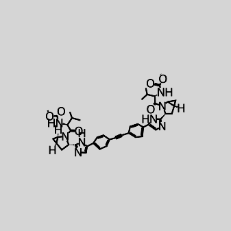 COC(=O)N[C@H](C(=O)N1C2C[C@@H]2C[C@H]1c1ncc(-c2ccc(C#Cc3ccc(-c4cnc([C@@H]5C[C@H]6C[C@H]6N5C(=O)[C@@H](NC(=O)OC)C(C)C)[nH]4)cc3)cc2)[nH]1)C(C)C